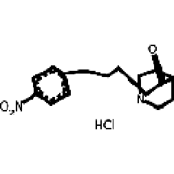 Cl.O=C1C2CCN(CC2)C1CCCc1ccc([N+](=O)[O-])cc1